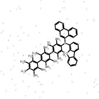 Bc1c(B)c(B)c(-c2c(B)c(B)c(-c3c(B)c(B)c(N(c4cc5ccccc5c5ccccc45)c4cccc5c4oc4ccccc45)c(B)c3B)c(B)c2B)c(B)c1B